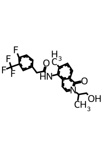 Cc1ccc2c(=O)n(C(C)CO)ccc2c1NC(=O)Cc1ccc(F)c(C(F)(F)F)c1